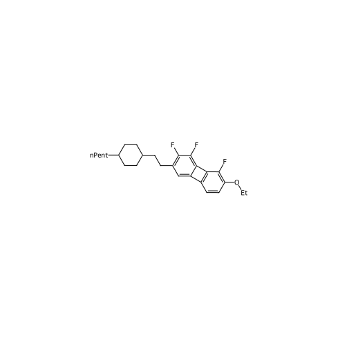 CCCCCC1CCC(CCc2cc3c(c(F)c2F)-c2c-3ccc(OCC)c2F)CC1